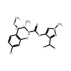 CO[C@H](c1ccc(Cl)cc1Cl)[C@H](C)NC(=O)Oc1cn(C)nc1C(F)F